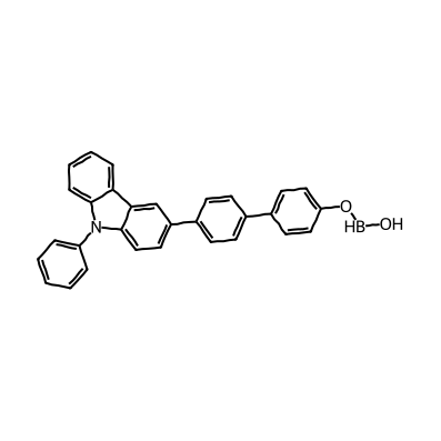 OBOc1ccc(-c2ccc(-c3ccc4c(c3)c3ccccc3n4-c3ccccc3)cc2)cc1